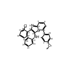 COc1ccc(-c2cccc3nc(-c4ccccc4Cl)c(Nc4ccccc4)n23)cc1